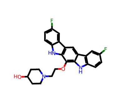 OC1CCN(CCOc2c3[nH]c4ccc(F)cc4c3cc3c2[nH]c2ccc(F)cc23)CC1